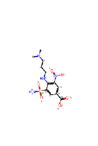 CN(C)CCCNc1c([N+](=O)[O-])cc(C(=O)O)cc1S(N)(=O)=O